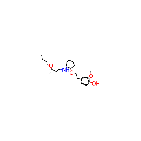 CCCCO[C@@H](C)CCNC1CCCCC1OCCc1ccc(O)c(OC)c1